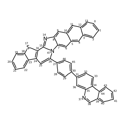 c1ccc2cc3cc4c(cc3cc2c1)nc1c2sc3ccccc3c2cc(-c2ccc(-c3ccc5c(c3)ncc3ccccc35)cc2)n41